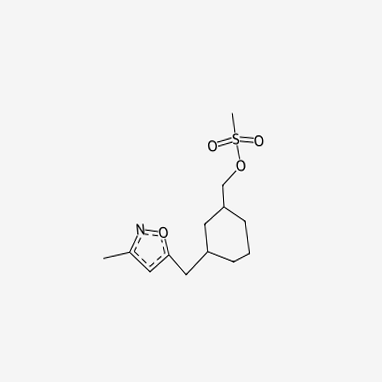 Cc1cc(CC2CCCC(COS(C)(=O)=O)C2)on1